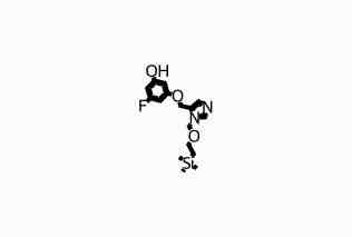 C[Si](C)(C)CCOCn1cncc1COc1cc(O)cc(F)c1